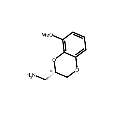 COc1cccc2c1O[C@@H](CN)CO2